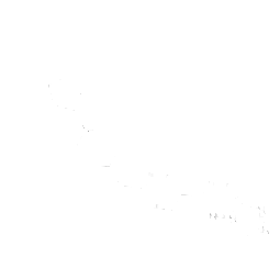 Cc1cc2nncn2nc1-c1ccc(OC2CCN(C3CCCC3)CC2)cc1